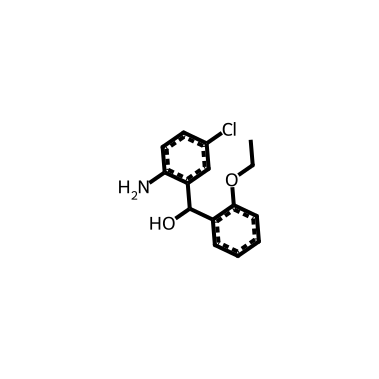 CCOc1ccccc1C(O)c1cc(Cl)ccc1N